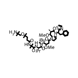 CC[C@H](C)[C@@H]([C@@H](CC(=O)N1CCC[C@H]1[C@H](OC)[C@@H](C)C(=O)NC(Cc1ccccc1)c1nccs1)OC)N(C)C(=O)[C@@H](NC(=O)C(C)(C)NC(=O)CCC(C)(C)OCC(C)(C)N)C(C)C